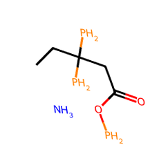 CCC(P)(P)CC(=O)OP.N